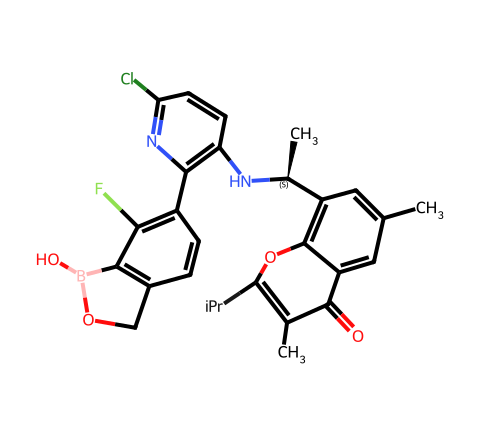 Cc1cc([C@H](C)Nc2ccc(Cl)nc2-c2ccc3c(c2F)B(O)OC3)c2oc(C(C)C)c(C)c(=O)c2c1